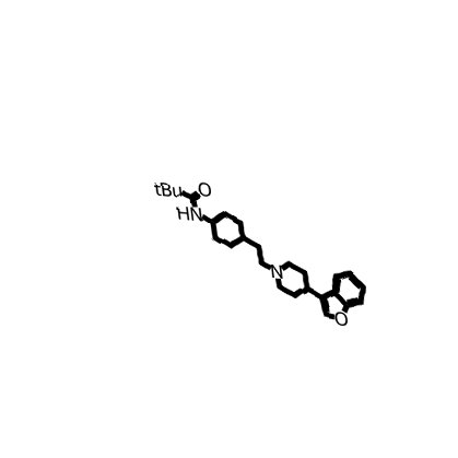 CC(C)(C)C(=O)NC1CCC(CCN2CCC(c3coc4ccccc34)CC2)CC1